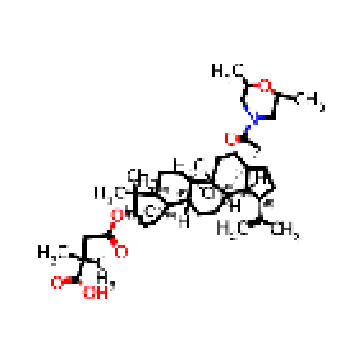 C=C(C)[C@@H]1CC[C@]2(CC(=O)N3CC(C)OC(C)C3)CC[C@]3(C)[C@H](CC[C@@H]4[C@@]5(C)CC[C@H](OC(=O)CC(C)(C)C(=O)O)C(C)(C)[C@@H]5CC[C@]43C)[C@@H]12